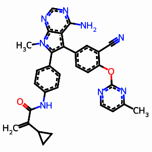 C=C(C(=O)Nc1ccc(-c2c(-c3ccc(Oc4nccc(C)n4)c(C#N)c3)c3c(N)ncnc3n2C)cc1)C1CC1